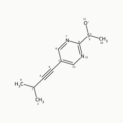 CC(C)C#Cc1cnc([S+](C)[O-])nc1